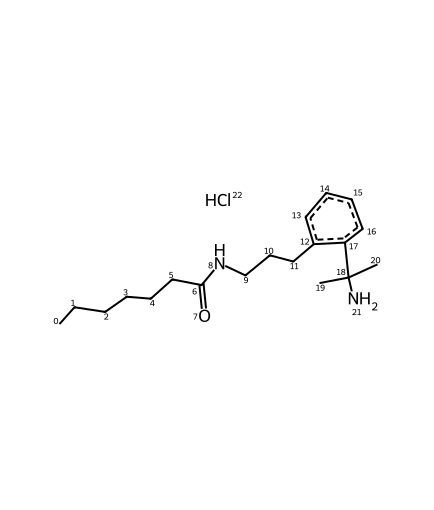 CCCCCCC(=O)NCCCc1ccccc1C(C)(C)N.Cl